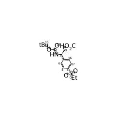 CCS(=O)(=O)c1ccc([C@H](CC(=O)O)NC(=O)OC(C)(C)C)cc1